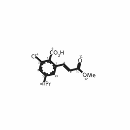 CCCc1cc(Cl)c(C(=O)O)c(/C=C/C(=O)OC)c1